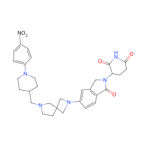 O=C1CCC(N2Cc3cc(N4CC5(CCN(CC6CCN(c7ccc([N+](=O)[O-])cc7)CC6)C5)C4)ccc3C2=O)C(=O)N1